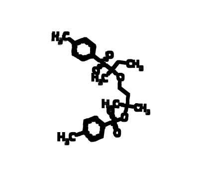 CCC(C)(OCCC(C)(C)OS(=O)(=O)c1ccc(C)cc1)S(=O)(=O)c1ccc(C)cc1